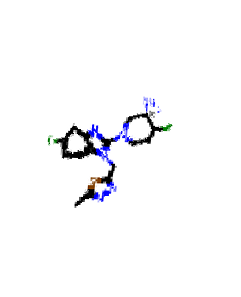 Cc1nnc(Cn2c(N3CCC(F)[C@H](N)C3)nc3cc(F)ccc32)s1